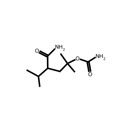 CC(C)C(CC(C)(C)OC(N)=O)C(N)=O